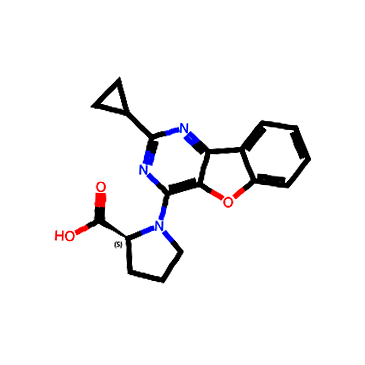 O=C(O)[C@@H]1CCCN1c1nc(C2CC2)nc2c1oc1ccccc12